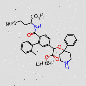 CSCCC(NC(=O)c1ccc(C(OC2(c3ccccc3)CCNCC2)C(=O)OC(C)(C)C)cc1-c1ccccc1C)C(=O)O.[LiH]